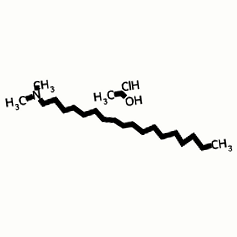 CCCCCCCCCCCCCCCCCCN(C)C.CCO.Cl